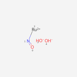 O=[N][Ru+2].[OH-].[OH-]